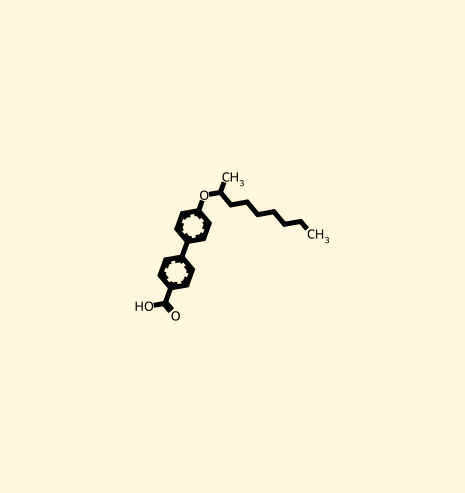 CCCCCCCC(C)Oc1ccc(-c2ccc(C(=O)O)cc2)cc1